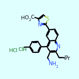 Cc1ccc(-c2c(CN)c(CC(C)C)nc3ccc(-c4nc(C(=O)O)cs4)cc23)cc1.Cl.Cl